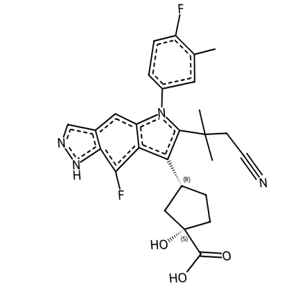 Cc1cc(-n2c(C(C)(C)CC#N)c([C@@H]3CC[C@@](O)(C(=O)O)C3)c3c(F)c4[nH]ncc4cc32)ccc1F